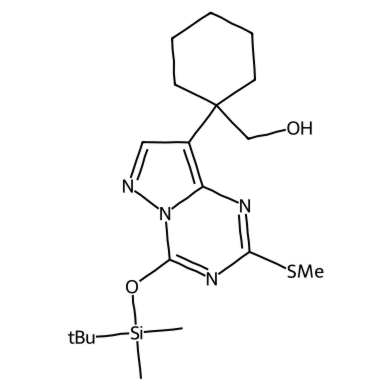 CSc1nc(O[Si](C)(C)C(C)(C)C)n2ncc(C3(CO)CCCCC3)c2n1